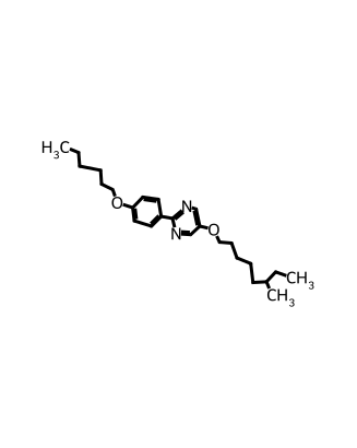 CCCCCCOc1ccc(-c2ncc(OCCCCCC(C)CC)cn2)cc1